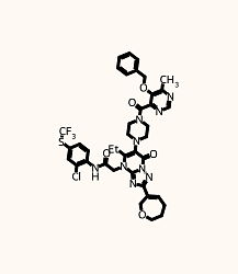 CCc1c(N2CCN(C(=O)c3ncnc(C)c3OCc3ccccc3)CC2)c(=O)n2nc(C3=CCCCOC3)nc2n1CC(=O)Nc1ccc(SC(F)(F)F)cc1Cl